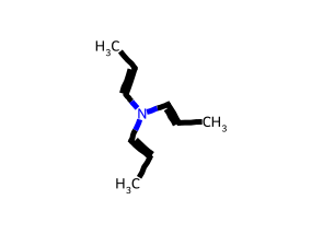 CC=CN(C=CC)C=CC